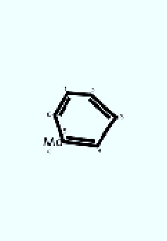 [Mo].c1ccccc1